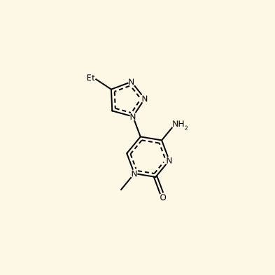 CCc1cn(-c2cn(C)c(=O)nc2N)nn1